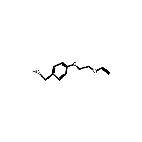 C=COCCOc1ccc(CO)cc1